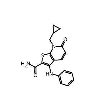 NC(=O)c1sc2c(ccc(=O)n2CC2CC2)c1Nc1ccccc1